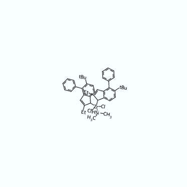 CCC1=Cc2c(ccc(C(C)(C)C)c2-c2ccccc2)[CH]1[Zr]([Cl])([Cl])([CH]1C(CC)=Cc2c1ccc(C(C)(C)C)c2-c1ccccc1)[SiH](C)C